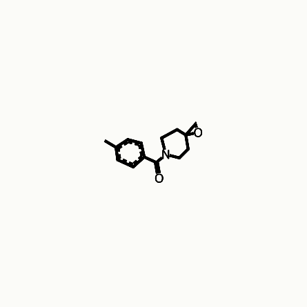 Cc1ccc(C(=O)N2CCC3(CC2)CO3)cc1